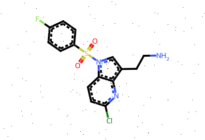 NCCc1cn(S(=O)(=O)c2ccc(F)cc2)c2ccc(Cl)nc12